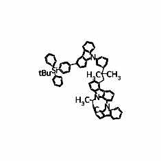 CC1c2ccc3c4ccccc4n(c3c2)-c2cccc3c4c(CC(C)(C)c5cccc(-n6c7ccccc7c7cc(-c8ccc([Si](c9ccccc9)(c9ccccc9)C(C)(C)C)cc8)ccc76)c5)cccc4n1c23